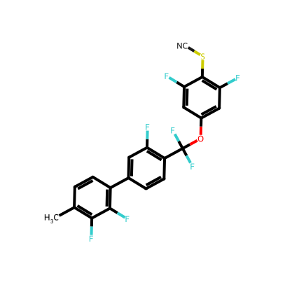 Cc1ccc(-c2ccc(C(F)(F)Oc3cc(F)c(SC#N)c(F)c3)c(F)c2)c(F)c1F